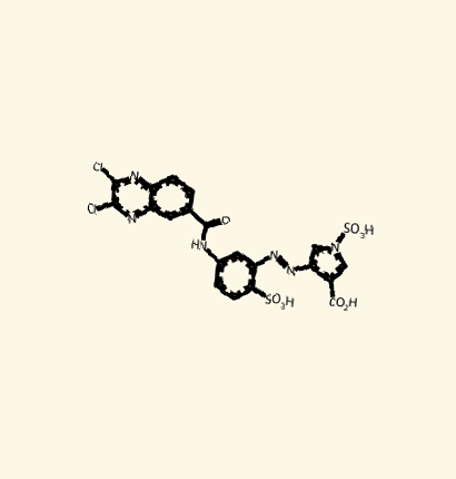 O=C(Nc1ccc(S(=O)(=O)O)c(/N=N/c2cn(S(=O)(=O)O)cc2C(=O)O)c1)c1ccc2nc(Cl)c(Cl)nc2c1